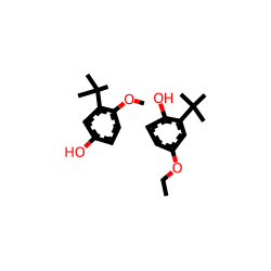 CCOc1ccc(O)c(C(C)(C)C)c1.COc1ccc(O)cc1C(C)(C)C